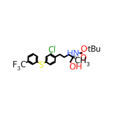 CC(C)(C)OC(=O)N[C@@](C)(CO)CCCc1ccc(Sc2cccc(C(F)(F)F)c2)cc1Cl